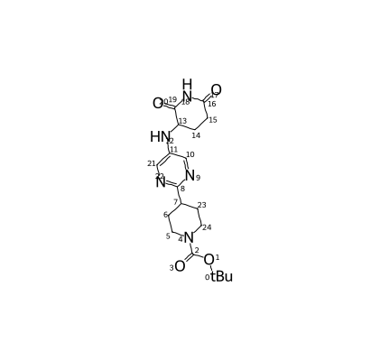 CC(C)(C)OC(=O)N1CCC(c2ncc(NC3CCC(=O)NC3=O)cn2)CC1